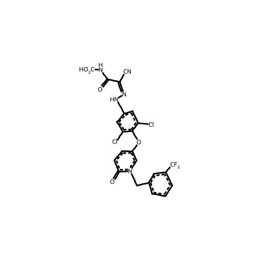 N#CC(=NNc1cc(Cl)c(Oc2ccc(=O)n(Cc3cccc(C(F)(F)F)c3)c2)c(Cl)c1)C(=O)NC(=O)O